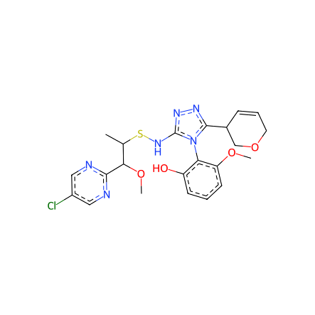 COc1cccc(O)c1-n1c(NSC(C)C(OC)c2ncc(Cl)cn2)nnc1C1C=CCOC1